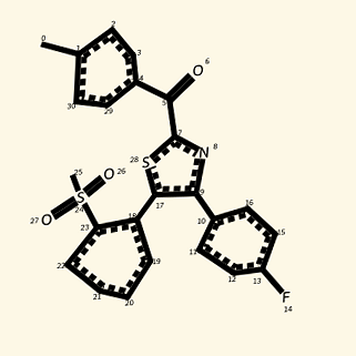 Cc1ccc(C(=O)c2nc(-c3ccc(F)cc3)c(-c3ccccc3S(C)(=O)=O)s2)cc1